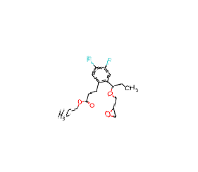 CCOC(=O)CCc1cc(F)c(F)cc1[C@@H](CC)OCC1CO1